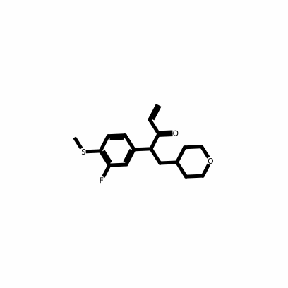 C=CC(=O)C(CC1CCOCC1)c1ccc(SC)c(F)c1